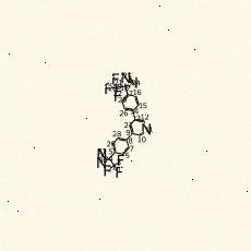 FC(F)(F)C1(c2ccc(-c3cncc(-c4ccc(C5(C(F)(F)F)N=N5)cc4)c3)cc2)N=N1